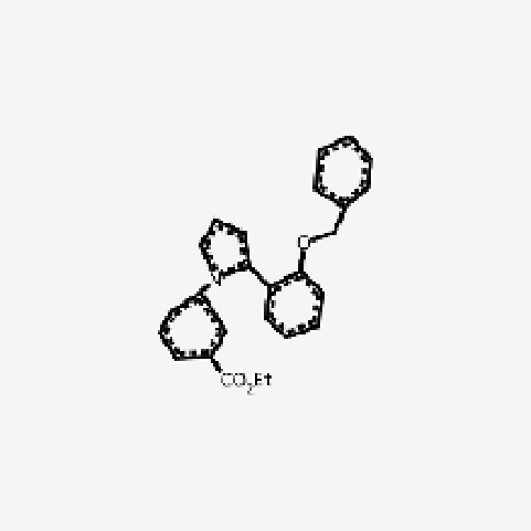 CCOC(=O)c1cccc(-n2cccc2-c2ccccc2OCc2ccccc2)c1